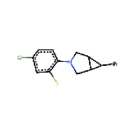 CC(C)C1C2CN(c3ccc(Cl)cc3F)CC21